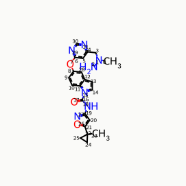 CN(N)Cc1cc(Oc2ccc3c(ccn3C(=O)Nc3cc(C4(C)CC4)on3)c2)ncn1